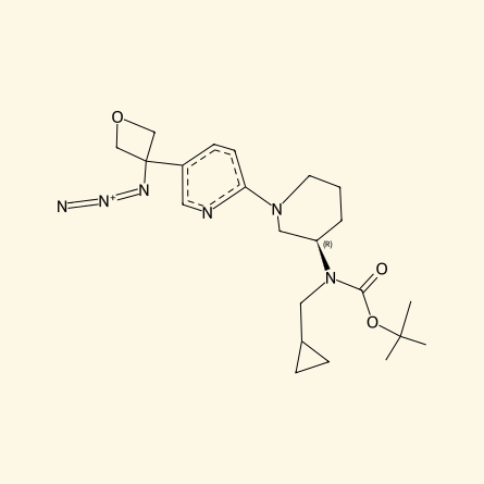 CC(C)(C)OC(=O)N(CC1CC1)[C@@H]1CCCN(c2ccc(C3(N=[N+]=[N-])COC3)cn2)C1